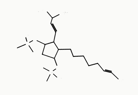 CCCCCC(/C=C/C1C(O[Si](C)(C)C(C)(C)C)CC(O[Si](C)(C)C(C)(C)C)C1CCCCCC=COC(C)=O)OC